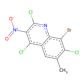 Cc1cc2c(Cl)c([N+](=O)[O-])c(Cl)nc2c(Br)c1Cl